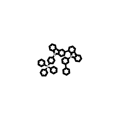 c1ccc(-c2cccc(-n3c4ccccc4c4cccc(-c5ccc6c(c5)c5ccccc5n6-c5ccc(S(c6ccccc6)(c6ccccc6)c6ccccc6)cc5)c43)c2)cc1